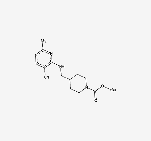 CC(C)(C)OC(=O)N1CCC(CNc2nc(C(F)(F)F)ccc2C#N)CC1